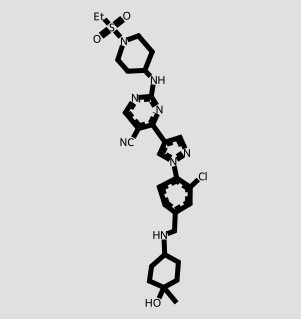 CCS(=O)(=O)N1CCC(Nc2ncc(C#N)c(-c3cnn(-c4ccc(CNC5CCC(C)(O)CC5)cc4Cl)c3)n2)CC1